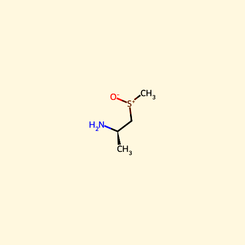 C[C@@H](N)C[S+](C)[O-]